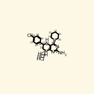 Cl.Cl.Cl.Nc1nc2c(c(N3CCCCC3)n1)NC(c1ccc(Cl)cc1)CN2